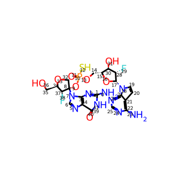 Nc1nc2c(ncn2[C@]2(OP(=O)(S)OC[C@H]3O[C@@H](n4ccc5c(N)ncnc54)[C@@H](F)[C@@H]3O)CO[C@H](CO)[C@@H]2F)c(=O)[nH]1